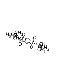 C[N+](C)(C)CCn1c(=O)c2cc3c(=O)n(CC[N+](C)(C)C)c(=O)c3cc2c1=O